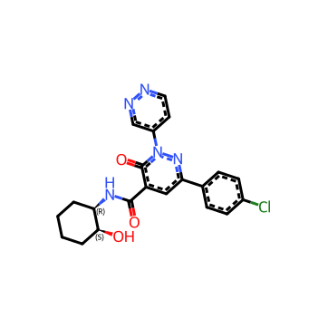 O=C(N[C@@H]1CCCC[C@@H]1O)c1cc(-c2ccc(Cl)cc2)nn(-c2ccnnc2)c1=O